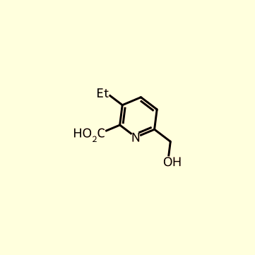 CCc1ccc(CO)nc1C(=O)O